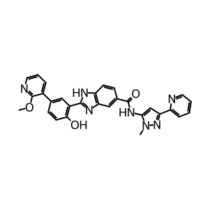 COc1ncccc1-c1ccc(O)c(-c2nc3cc(C(=O)Nc4cc(-c5ccccn5)nn4C)ccc3[nH]2)c1